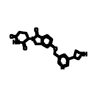 O=C1CCC(N2Cc3cc(OCc4cncc(C5CNC5)c4)ccc3C2=O)C(=O)N1